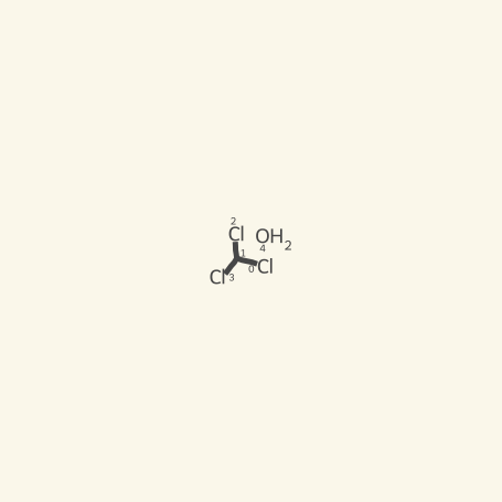 ClC(Cl)Cl.O